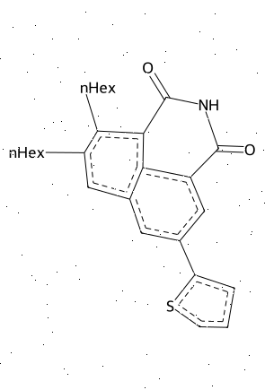 CCCCCCc1cc2cc(-c3cccs3)cc3c2c(c1CCCCCC)C(=O)NC3=O